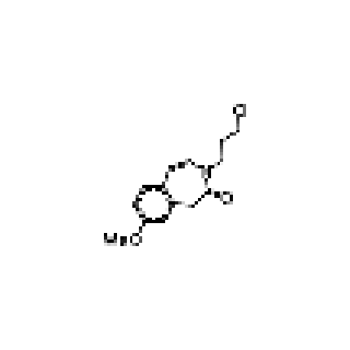 COc1ccc2c(c1)CC(=O)N(CCCCl)C=C2